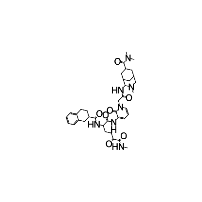 CNC(=O)C(=O)CCC(NC(=O)C1CCc2ccccc2C1)C(=O)Nc1cccn(CC(=O)NC2C3CC(CC(C(=O)N(C)C)C3)CN2C)c1=O